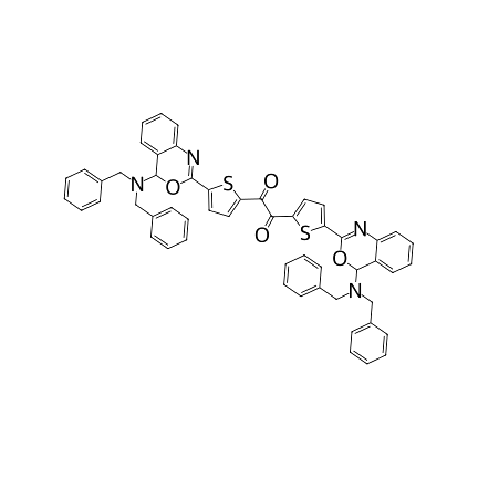 O=C(C(=O)c1ccc(C2=Nc3ccccc3C(N(Cc3ccccc3)Cc3ccccc3)O2)s1)c1ccc(C2=Nc3ccccc3C(N(Cc3ccccc3)Cc3ccccc3)O2)s1